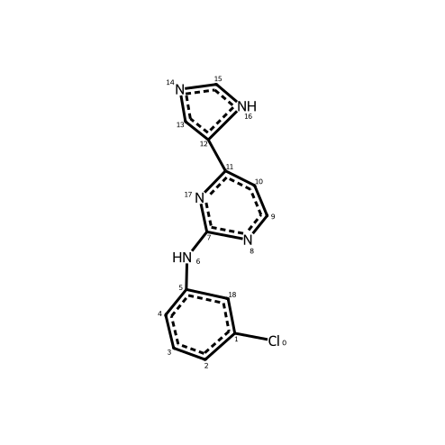 Clc1cccc(Nc2nccc(-c3cnc[nH]3)n2)c1